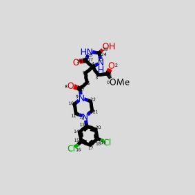 COC(=O)CC1(CCC(=O)N2CCN(c3cc(Cl)cc(Cl)c3)CC2)NC(O)NC1=O